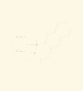 CC1Cc2nc3ccccc3cc2C(C)(c2ccccc2O)C1(C)N.Cl